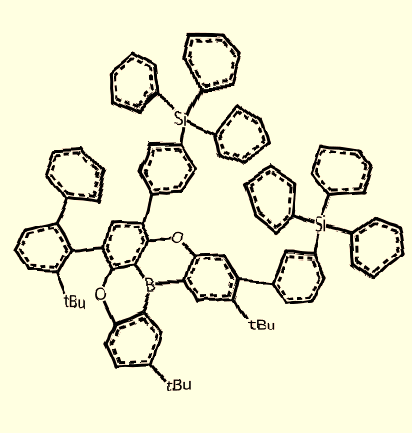 CC(C)(C)c1ccc2c(c1)B1c3cc(C(C)(C)C)c(-c4cccc([Si](c5ccccc5)(c5ccccc5)c5ccccc5)c4)cc3Oc3c(-c4ccc([Si](c5ccccc5)(c5ccccc5)c5ccccc5)cc4)cc(-c4c(-c5ccccc5)cccc4C(C)(C)C)c(c31)O2